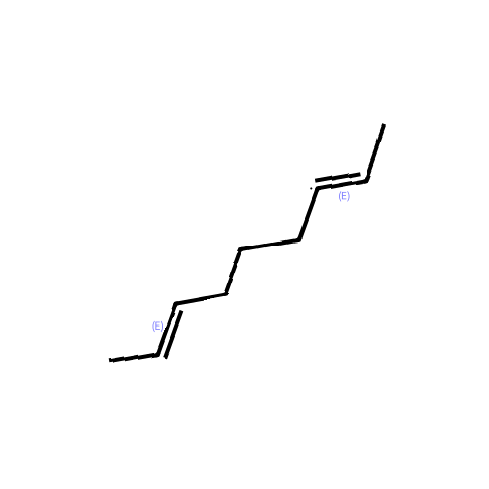 C/C=[C]/CCC/C=C/C